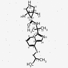 CC(C)CSc1cccn2c(C(C)(C)NC(=O)[C@@H]3[C@@H]4CNC[C@@H]43)ncc12